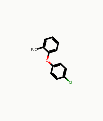 FC(F)(F)c1ccccc1Oc1ccc(Cl)cc1